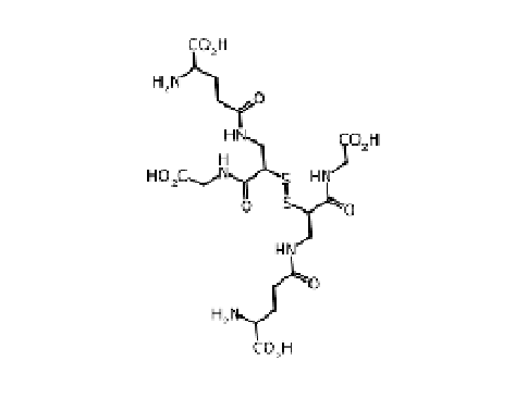 NC(CCC(=O)NCC(SSC(CNC(=O)CCC(N)C(=O)O)C(=O)NCC(=O)O)C(=O)NCC(=O)O)C(=O)O